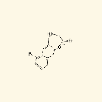 CC[C@@H]1CNCc2cc3c(F)cccc3cc2O1